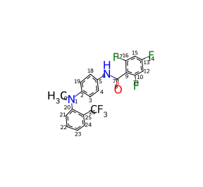 CN(c1ccc(NC(=O)c2c(F)cc(F)cc2F)cc1)c1ccccc1C(F)(F)F